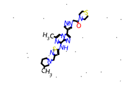 Cc1cn2c(-c3cnn(CC(=O)N4CCSCC4)c3)cnc2c(Nc2cc(CN3CCCC(C)C3)ns2)n1